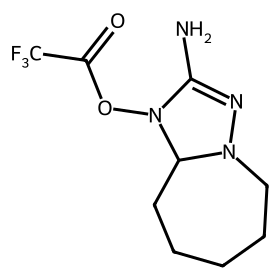 NC1=NN2CCCCCC2N1OC(=O)C(F)(F)F